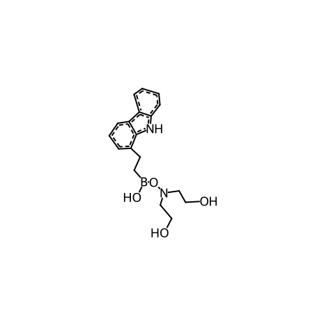 OCCN(CCO)OB(O)CCc1cccc2c1[nH]c1ccccc12